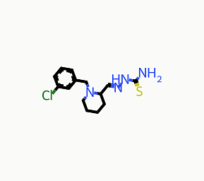 NC(=S)NN=CC1CCCCN1Cc1cccc(Cl)c1